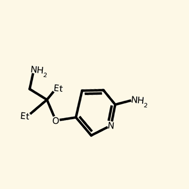 CCC(CC)(CN)Oc1ccc(N)nc1